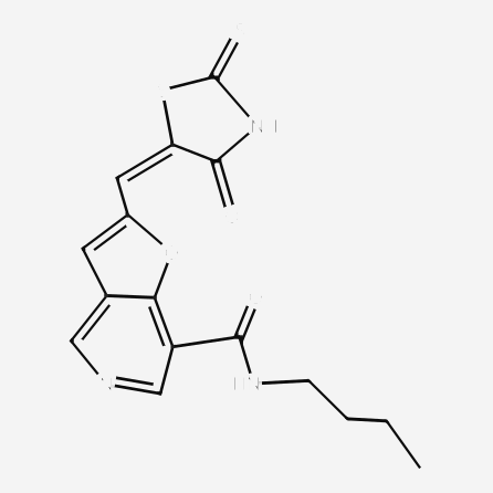 CCCCNC(=O)c1cncc2cc(C=C3SC(=S)NC3=O)oc12